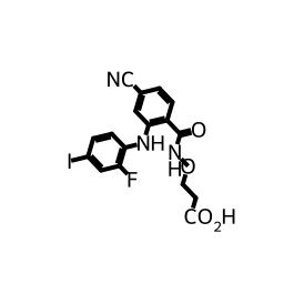 N#Cc1ccc(C(=O)NOCCC(=O)O)c(Nc2ccc(I)cc2F)c1